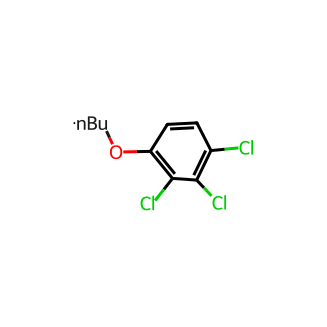 CCC[CH]Oc1ccc(Cl)c(Cl)c1Cl